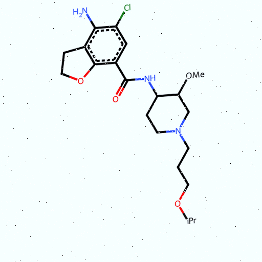 COC1CN(CCCOC(C)C)CCC1NC(=O)c1cc(Cl)c(N)c2c1OCC2